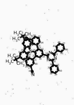 CC(C)(C)c1ccc2c(c1)c1cc(C(C)(C)C)ccc1n2-c1c(-c2cccc(C#N)c2)cc(-c2nc(-c3ccccc3)nc(-c3ccccc3)n2)cc1-c1cccc(C#N)c1